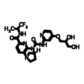 CC(NC(=O)c1ccc2c(n1)N(C(=O)Nc1cc(OCC(O)CO)ccn1)[C@H]1CCN2C1)C(F)(F)F